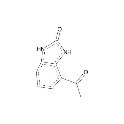 CC(=O)c1cccc2[nH]c(=O)[nH]c12